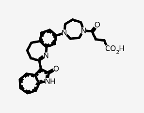 O=C(O)CCC(=O)N1CCCN(c2ccc3c(c2)N=C(c2c4cccccc-4[nH]c2=O)CCC3)CC1